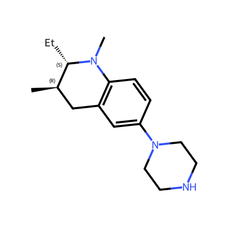 CC[C@H]1[C@H](C)Cc2cc(N3CCNCC3)ccc2N1C